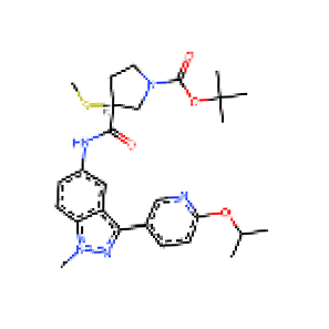 CS[C@@]1(C(=O)Nc2ccc3c(c2)c(-c2ccc(OC(C)C)nc2)nn3C)CCN(C(=O)OC(C)(C)C)C1